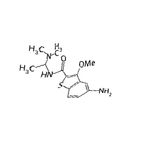 COc1c(C(=O)NC(C)N(C)C)sc2ccc(N)cc12